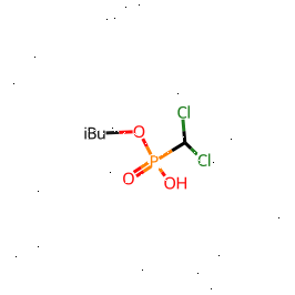 CCC(C)OP(=O)(O)C(Cl)Cl